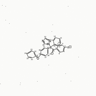 O=C(c1ccc(Cl)cc1)C(c1ccccc1)(c1ccc(Oc2ccccc2)cc1)n1cncn1